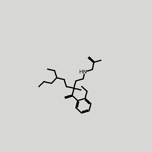 C=C(C)CNCCC(C)(CCC(CC)CCC)C(=C)c1ccccc1CC